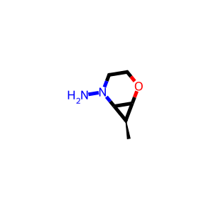 C[C@@H]1C2OCCN(N)C21